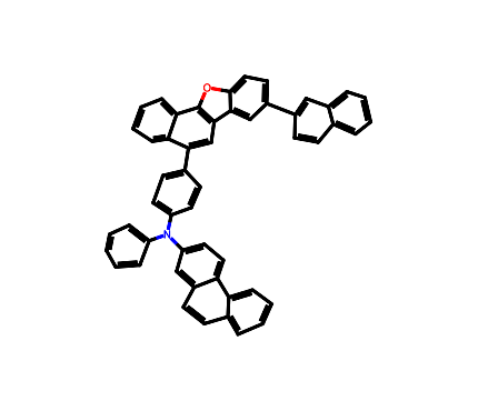 c1ccc(N(c2ccc(-c3cc4c5cc(-c6ccc7ccccc7c6)ccc5oc4c4ccccc34)cc2)c2ccc3c(ccc4ccccc43)c2)cc1